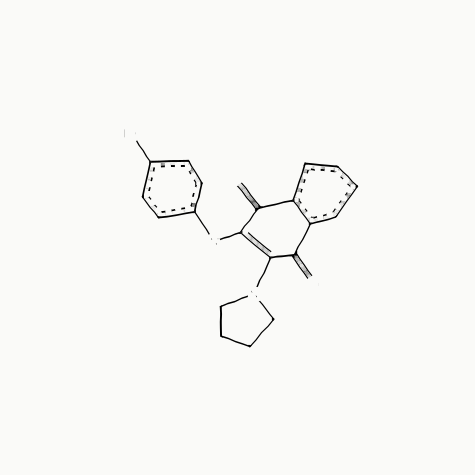 O=C1C(Nc2ccc(O)cc2)=C(N2CCCC2)C(=O)c2ccccc21